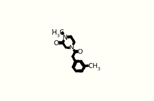 Cc1cccc(CC(=O)N2CCN(C)C(=O)C2)c1